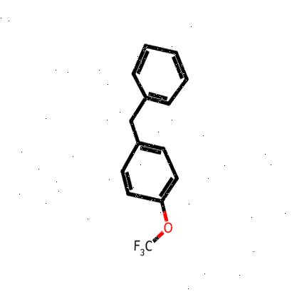 FC(F)(F)Oc1ccc(Cc2ccccc2)cc1